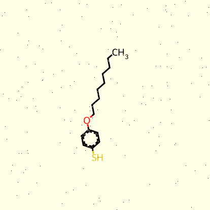 CCCCCCCCCOc1ccc(S)cc1